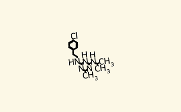 CC1N=C(NCCc2ccc(Cl)cc2)NC(NC(C)C)=N1